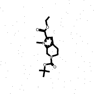 CCOC(=O)c1cc2c(n1C)CN(C(=O)OC(C)(C)C)CC2